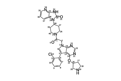 O=C(Cn1cc(-c2ccccc2Cl)c2c(OC3CCNC3)ncnc21)N1CCC(n2c(=O)[nH]c3ncccc32)CC1